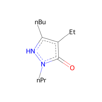 CCCCc1[nH]n(CCC)c(=O)c1CC